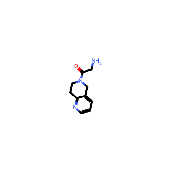 NCC(=O)N1CCc2ncccc2C1